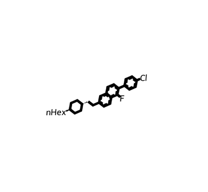 CCCCCC[C@H]1CC[C@H](CCc2ccc3c(F)c(-c4ccc(Cl)cc4)ccc3c2)CC1